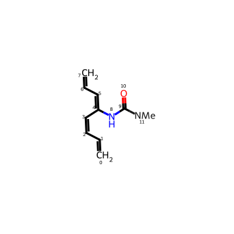 C=C/C=C\C(=C/C=C)NC(=O)NC